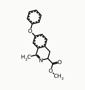 COC(=O)C1Cc2ccc(Oc3ccccc3)cc2C(C)=N1